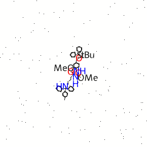 COC(=O)N[C@@H](CCCCNC(c1ccccc1)(c1ccccc1)c1ccc(C)cc1)C(=O)Nc1ccc(CO[Si](c2ccccc2)(c2ccccc2)C(C)(C)C)cc1OC